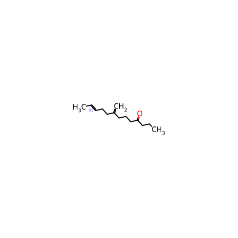 C=C(CC/C=C/C)CCCC(=O)CCC